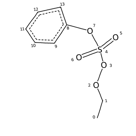 CCOOS(=O)(=O)Oc1ccccc1